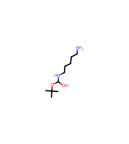 CC(C)(C)OC(O)NCCCCCN